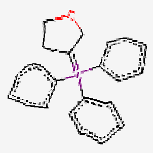 c1ccc(P(=C2CCOC2)(c2ccccc2)c2ccccc2)cc1